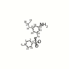 Cc1ccc(S(=O)(=O)SCc2cc(N)cc(CC(C)C)c2)cc1